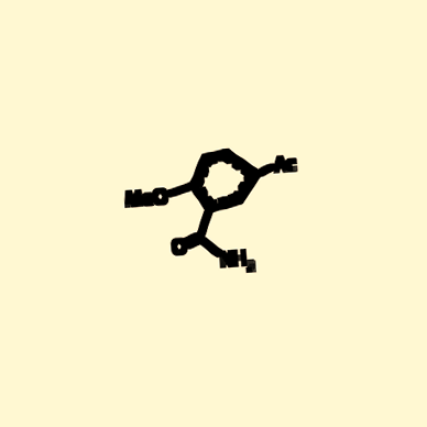 COc1ccc(C(C)=O)cc1C(N)=O